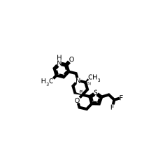 Cc1c[nH]c(=O)c(CN2CC[C@]3(C[C@@H]2C)OCCc2cc(CC(F)F)sc23)c1